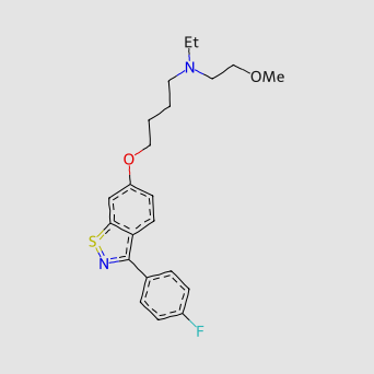 CCN(CCCCOc1ccc2c(-c3ccc(F)cc3)nsc2c1)CCOC